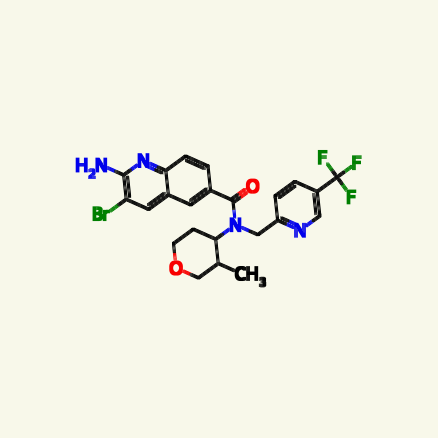 CC1COCCC1N(Cc1ccc(C(F)(F)F)cn1)C(=O)c1ccc2nc(N)c(Br)cc2c1